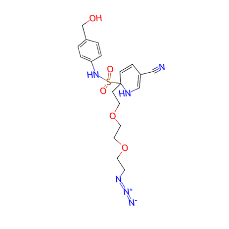 N#CC1=CNC(CCOCCOCCN=[N+]=[N-])(S(=O)(=O)Nc2ccc(CO)cc2)C=C1